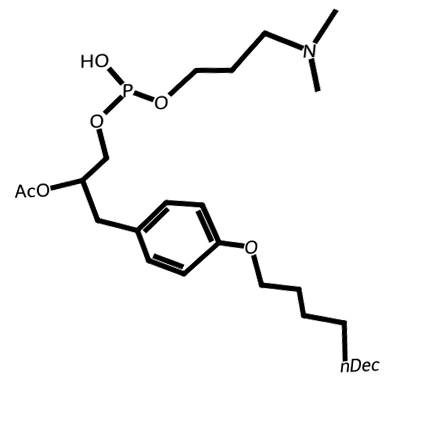 CCCCCCCCCCCCCCOc1ccc(CC(COP(O)OCCCN(C)C)OC(C)=O)cc1